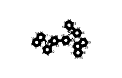 c1ccc2c(-n3c4ccccc4c4cc(-c5ccc(N(c6cc7ccccc7c7ccccc67)c6cccc7c6sc6ccccc67)cc5)ccc43)cccc2c1